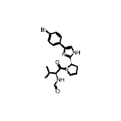 CC(C)[C@H](NC=O)C(=O)N1CCC[C@H]1c1nc(-c2ccc(Br)cc2)c[nH]1